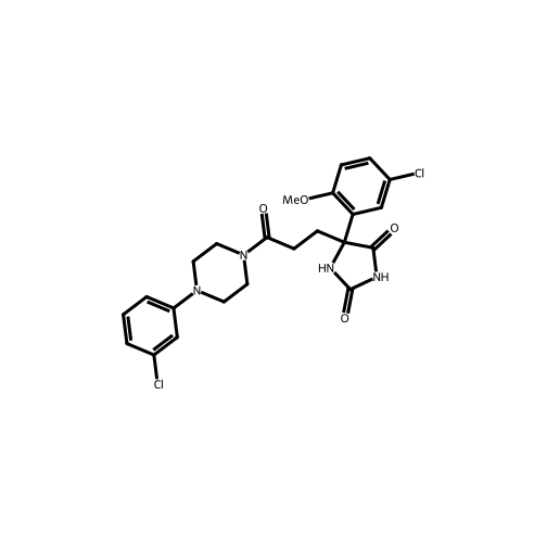 COc1ccc(Cl)cc1C1(CCC(=O)N2CCN(c3cccc(Cl)c3)CC2)NC(=O)NC1=O